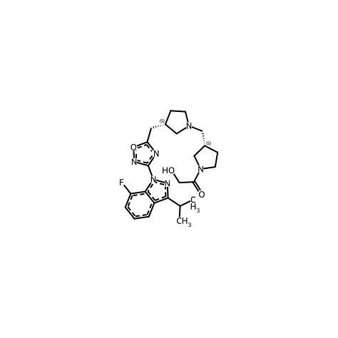 CC(C)c1nn(-c2noc(C[C@@H]3CCN(C[C@@H]4CCN(C(=O)CO)C4)C3)n2)c2c(F)cccc12